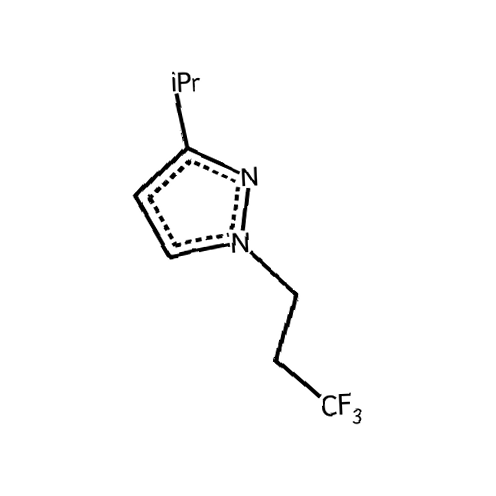 CC(C)c1ccn(CCC(F)(F)F)n1